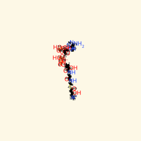 CC(C)(COP(=O)([O-])OP(=O)(O)OC[C@H]1O[C@@H](n2cnc3c(N)ncnc32)[C@H](O)[C@@H]1OP(=O)(O)O)[C@@H](O)C(=O)NCCC(=O)NCCSC(=O)C[C@@H](O)C[N+](C)(C)C